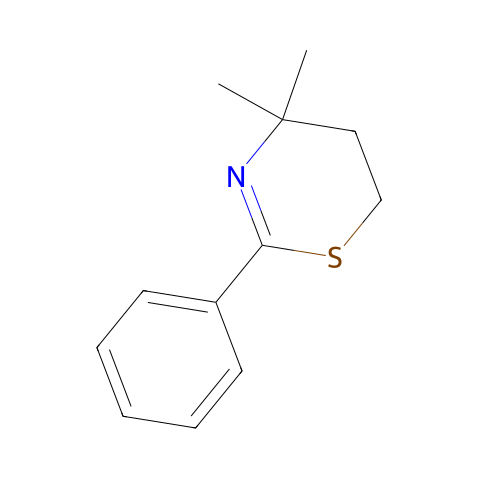 CC1(C)CCSC(c2ccccc2)=N1